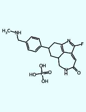 CNCc1ccc(C2CC3=C4C(=CC(=O)NCC4C2)C(F)=N3)cc1.O=P(O)(O)O